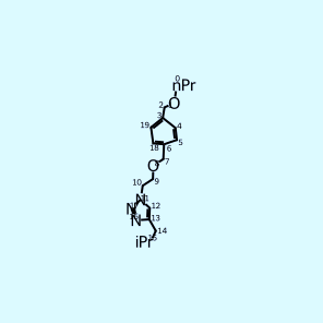 CCCOCc1ccc(COCCn2cc(CC(C)C)nn2)cc1